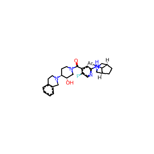 CC(=O)N1C[C@H]2CC[C@@H](C1)C2Nc1cc(C(=O)N2CC[C@H](N3CCc4ccccc4C3)[C@@H](O)C2)c(F)cn1